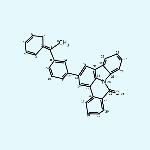 C/C(=C1/C=CC=CC1)c1cccc(-c2cc3c4ccccc4c(=O)n4c5ccccc5c(c2)c34)c1